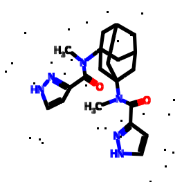 CN(C(=O)c1cc[nH]n1)C12CC3CC(C1)CC(N(C)C(=O)c1cc[nH]n1)(C3)C2